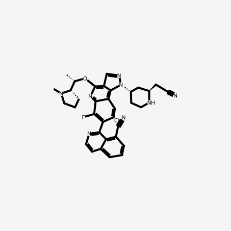 C[C@H](Oc1nc2c(F)c(-c3nccc4cccc(C#N)c34)c(Cl)cc2c2c1cnn2[C@H]1CCN[C@H](CC#N)C1)[C@@H]1CCCN1C